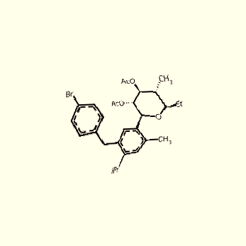 CC[C@H]1O[C@@H](c2cc(Cc3ccc(Br)cc3)c(C(C)C)cc2C)[C@H](OC(C)=O)[C@@H](OC(C)=O)[C@@H]1C